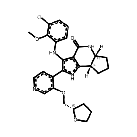 COc1c(Cl)cccc1Nc1c(-c2ccncc2OC[C@@H]2CCCO2)[nH]c2c1C(=O)N[C@@H]1CCC[C@H]21